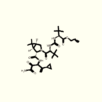 C=CCOC(=O)[C@@H](NC(=O)N[C@H](C(=O)N1C[C@H]2[C@@H]([C@H]1C(=O)NC(C(=C)C1CC1)C(=O)C(N)=O)C2(C)C)C(C)(C)C)C(C)(C)C